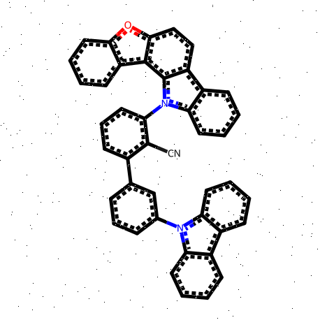 N#Cc1c(-c2cccc(-n3c4ccccc4c4ccccc43)c2)cccc1-n1c2ccccc2c2ccc3oc4ccccc4c3c21